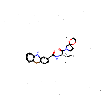 CC(C)C[C@H](NC(=O)c1ccc2c(c1)Nc1ccccc1S2)C(=O)N1CCC2(C1)OCCO2